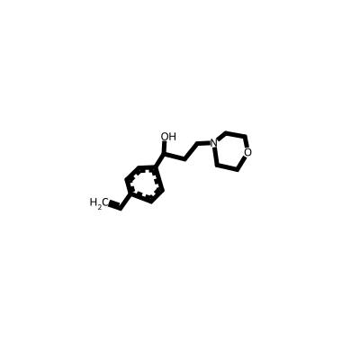 C=Cc1ccc(C(O)CCN2CCOCC2)cc1